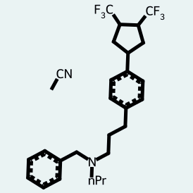 CC#N.CCCN(CCCc1ccc(C2CC(C(F)(F)F)C(C(F)(F)F)C2)cc1)Cc1ccccc1